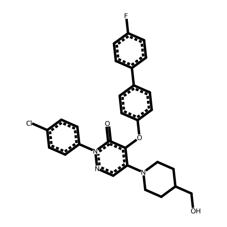 O=c1c(Oc2ccc(-c3ccc(F)cc3)cc2)c(N2CCC(CO)CC2)cnn1-c1ccc(Cl)cc1